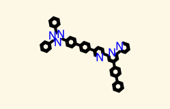 c1ccc(-c2ccc(-c3cc(-c4ccccn4)nc(-c4ccc(-c5ccc(-c6ccc(-c7nc(-c8ccccc8)nc(-c8ccccc8)n7)cc6)cc5)cn4)c3)cc2)cc1